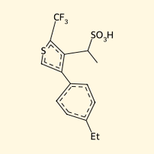 CCc1ccc(-c2csc(C(F)(F)F)c2C(C)S(=O)(=O)O)cc1